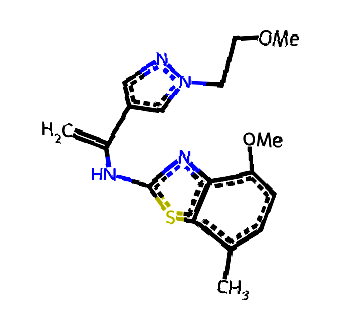 C=C(Nc1nc2c(OC)ccc(C)c2s1)c1cnn(CCOC)c1